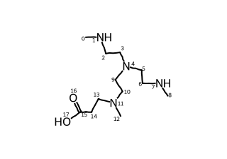 CNCCN(CCNC)CCN(C)CCC(=O)O